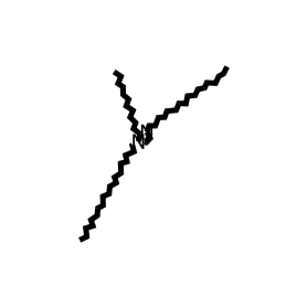 CCCCCCCCCCCCCCCCCCCN1C=CN(CCCCCCCCCCCCCCCCC)C1CCCCCCCCCCC